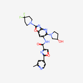 Cc1cc(-c2nc(C(=O)Nc3cc4oc(N5CCC(F)(F)CC5)nc4nc3N3CCC(O)C3)co2)ccn1